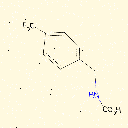 O=C(O)NCc1ccc(C(F)(F)F)cc1